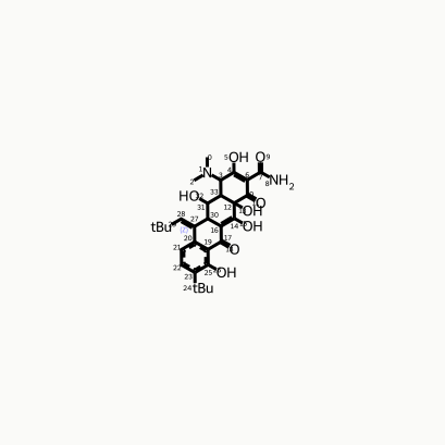 CN(C)C1C(O)=C(C(N)=O)C(=O)C2(O)C(O)=C3C(=O)c4c(ccc(C(C)(C)C)c4O)/C(=C\C(C)(C)C)C3C(O)C12